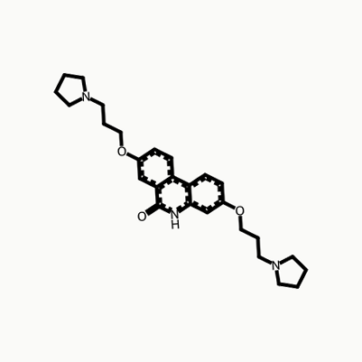 O=c1[nH]c2cc(OCCCN3CCCC3)ccc2c2ccc(OCCCN3CCCC3)cc12